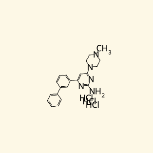 CN1CCN(c2cc(-c3cccc(-c4ccccc4)c3)nc(N)n2)CC1.Cl.Cl.Cl